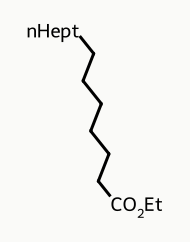 C[CH]OC(=O)CCCCCCCCCCCCC